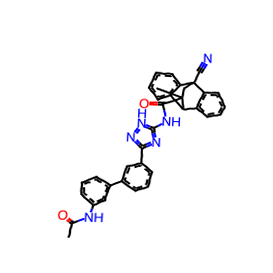 CC(=O)Nc1cccc(-c2cccc(-c3n[nH]c(NC(=O)C4(C)CC5(C#N)c6ccccc6C4c4ccccc45)n3)c2)c1